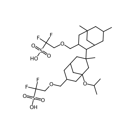 CC1CC2CC(C)(C1)CC(COCC(F)(F)S(=O)(=O)O)C2C1(C)CC2CC(COCC(F)(F)S(=O)(=O)O)CC(OC(C)C)(C2)C1